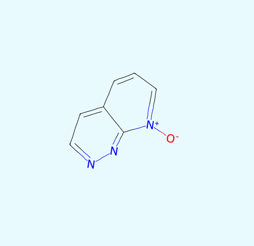 [O-][n+]1cccc2ccnnc21